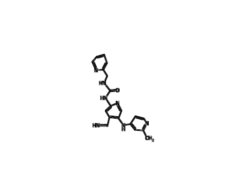 Cc1cc(Nc2cnc(NC(=O)NCc3ccccn3)cc2C=N)ccn1